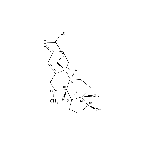 CCC(=O)OC[C@]12CCC(=O)C=C1C[C@@H](C)[C@@H]1[C@@H]2CC[C@]2(C)[C@@H](O)CC[C@@H]12